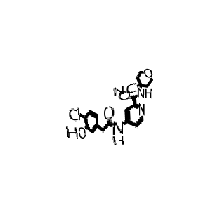 N#CC1(NC(=O)c2cc(NC(=O)Cc3ccc(Cl)c(O)c3)ccn2)CCOCC1